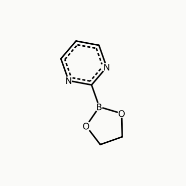 c1cnc(B2OCCO2)nc1